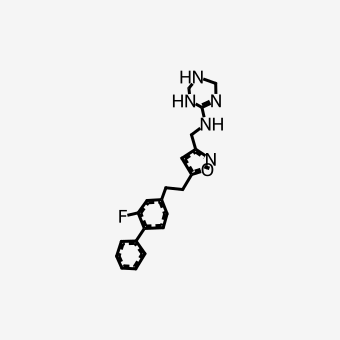 Fc1cc(CCc2cc(CNC3=NCNCN3)no2)ccc1-c1ccccc1